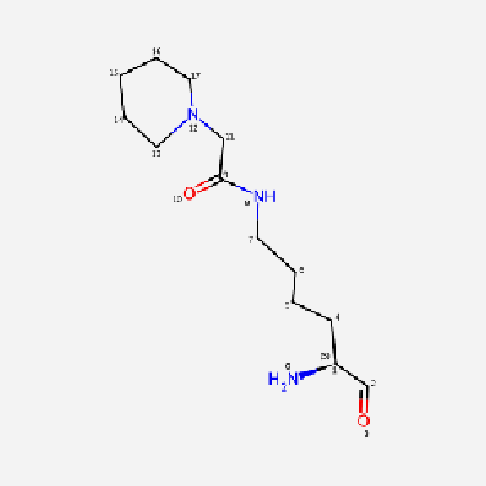 N[C@H](C=O)CCCCNC(=O)CN1CCCCC1